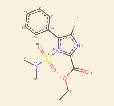 CCOC(=O)c1nc(Cl)c(-c2ccccc2)n1S(=O)(=O)N(C)C